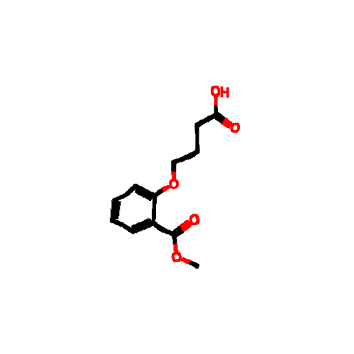 COC(=O)c1ccccc1OCCCC(=O)O